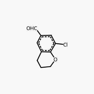 O=Cc1cc(Cl)c2c(c1)CCCO2